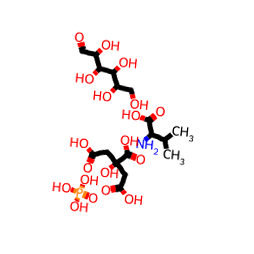 CC(C)C(N)C(=O)O.O=C(O)CC(O)(CC(=O)O)C(=O)O.O=CC(O)C(O)C(O)C(O)CO.O=P(O)(O)O